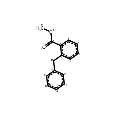 COC(=O)c1ccccc1[CH]c1ccccc1